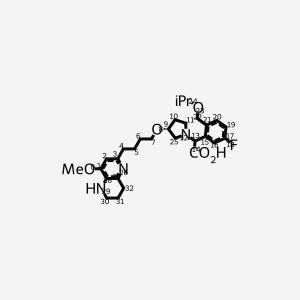 COc1cc(CCCCO[C@@H]2CCN(C(C(=O)O)c3cc(F)ccc3COC(C)C)C2)nc2c1NCCC2